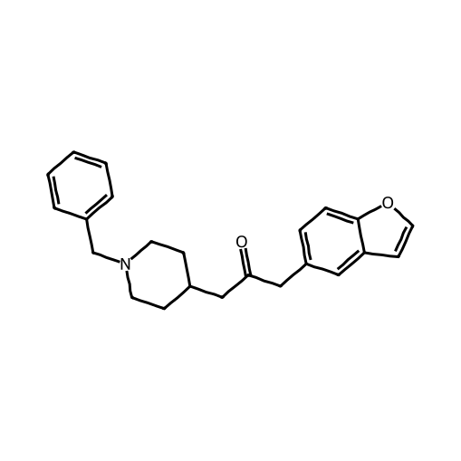 O=C(Cc1ccc2occc2c1)CC1CCN(Cc2ccccc2)CC1